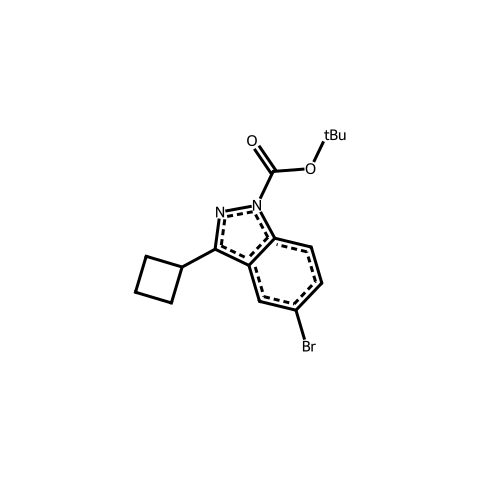 CC(C)(C)OC(=O)n1nc(C2CCC2)c2cc(Br)ccc21